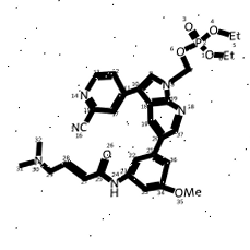 CCOP(=O)(OCC)OCn1cc(-c2ccnc(C#N)c2)c2cc(-c3cc(NC(=O)C=CCN(C)C)cc(OC)c3)cnc21